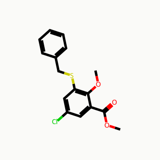 COC(=O)c1cc(Cl)cc(SCc2ccccc2)c1OC